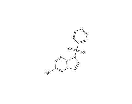 Nc1cnc2c(ccn2S(=O)(=O)c2ccccc2)c1